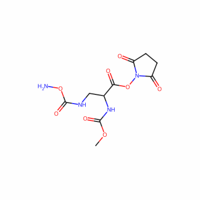 COC(=O)NC(CNC(=O)ON)C(=O)ON1C(=O)CCC1=O